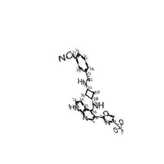 CS(=O)(=O)c1coc(-c2cnc3[nH]ccc3c2N[C@H]2C[C@@H](NSc3cccc(C#N)c3)C2)n1